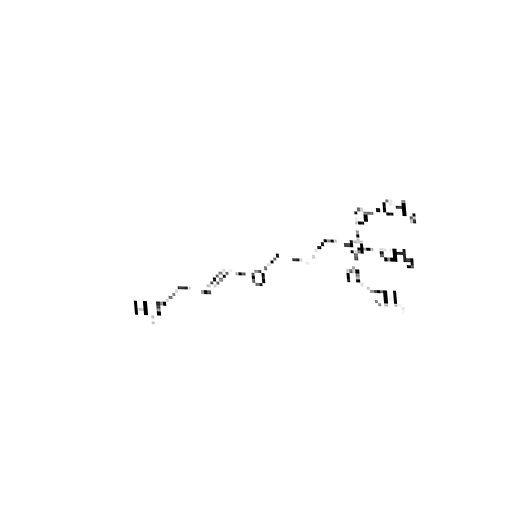 CCC=COCCC[Si](C)(OC)OC